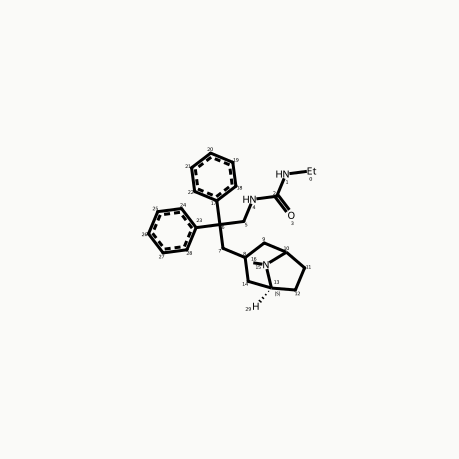 CCNC(=O)NCC(CC1CC2CC[C@@H](C1)N2C)(c1ccccc1)c1ccccc1